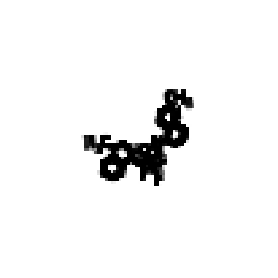 Cc1ccc2c(/N=C/C(O)(CC3CCC(C)c4ccccc43)C(F)(F)F)cccc2n1